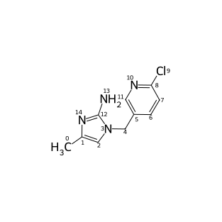 Cc1cn(Cc2ccc(Cl)nc2)c(N)n1